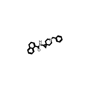 O=C(NC1CC12CCN(Cc1ccccc1)CC2)C1=CCCc2ccccc21